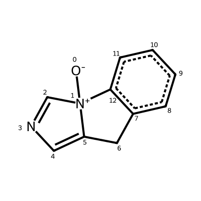 [O-][N+]12C=NC=C1Cc1ccccc12